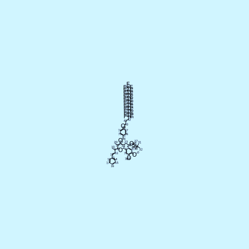 COc1ccc(COC(C(C)C=Cc2ccccc2)C(C)C(CCCO[Si](C)(C)C(C)(C)C)OCc2ccc(OCCCC(F)(F)C(F)(F)C(F)(F)C(F)(F)C(F)(F)C(F)(F)C(F)(F)C(F)(F)C(F)(F)C(F)(F)F)cc2)cc1OC